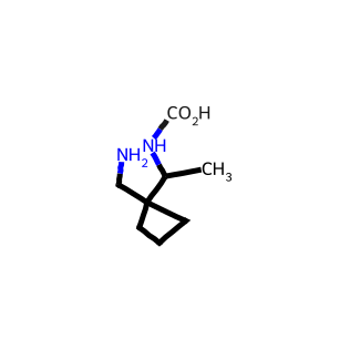 CC(NC(=O)O)C1(CN)CCC1